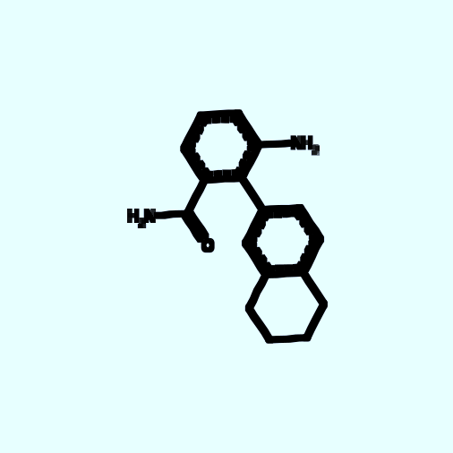 NC(=O)c1cccc(N)c1-c1ccc2c(c1)CCCC2